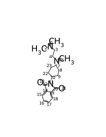 CN(C)CCN(C)[C@H]1CC[C@H](N2C(=O)c3ccccc3C2=O)CC1